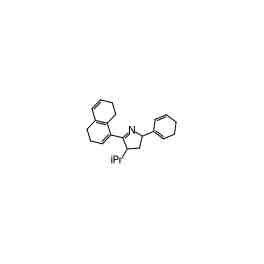 CC(C)C1CC(C2=CCCC=C2)N=C1C1=CCCC2=C1CCC=C2